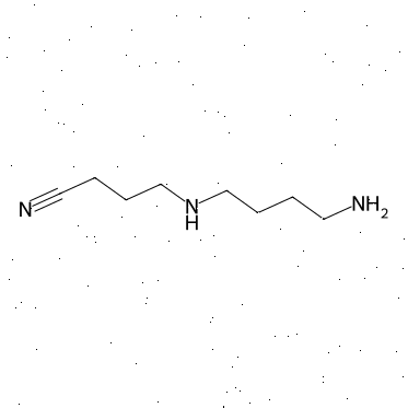 N#CCCCNCCCCN